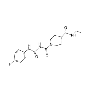 CCNC(=O)C1CCN(C(=O)NC(=O)Nc2ccc(F)cc2)CC1